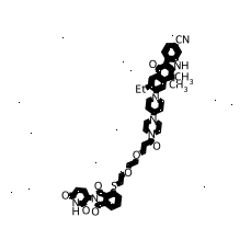 CCc1cc2c(cc1N1CCC(N3CCN(C(=O)CCOCCOCCSc4cccc5c4C(=O)N(C4CCC(=O)NC4=O)C5=O)CC3)CC1)C(C)(C)c1[nH]c3cc(C#N)ccc3c1C2=O